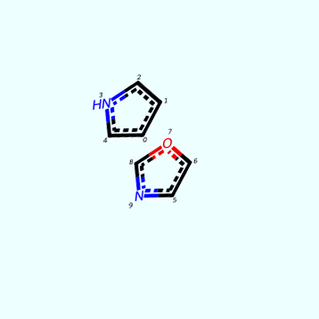 c1cc[nH]c1.c1cocn1